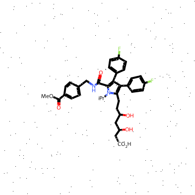 COC(=O)c1ccc(CNC(=O)c2c(-c3ccc(F)cc3)c(-c3ccc(F)cc3)c(CCC(O)CC(O)CC(=O)O)n2C(C)C)cc1